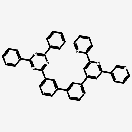 c1ccc(-c2nc(-c3ccccc3)nc(-c3cccc(-c4cccc(-c5cc(-c6cccnc6)nc(-c6ccccn6)c5)c4)c3)n2)cc1